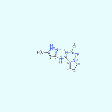 Cc1cc(NC2=NC(Cl)=NN3CCC=C23)n[nH]1